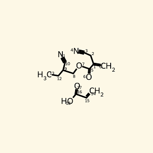 C=C(CC#N)C(=O)OCC(C#N)CC.C=CC(=O)O